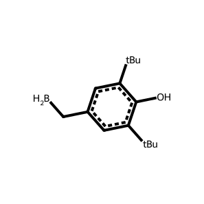 BCc1cc(C(C)(C)C)c(O)c(C(C)(C)C)c1